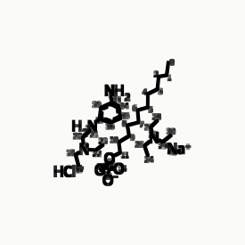 CCCCCCCCCCCCOS(=O)(=O)[O-].CCN(CC)CC.CCN(CC)CC.Cl.Nc1cccc(N)c1.[Na+]